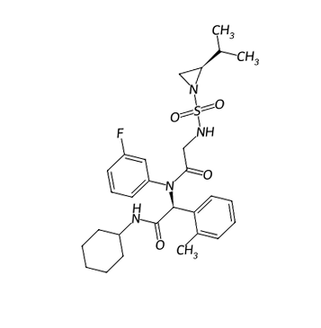 Cc1ccccc1[C@@H](C(=O)NC1CCCCC1)N(C(=O)CNS(=O)(=O)N1C[C@H]1C(C)C)c1cccc(F)c1